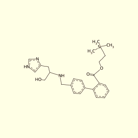 C[Si](C)(C)CCOC(=O)c1ccccc1-c1ccc(CNC(CO)Cc2c[nH]cn2)cc1